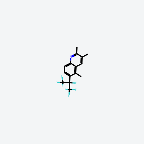 Cc1[c]c2c(C)c(C(F)(C(F)(F)F)C(F)(F)F)ccc2nc1C